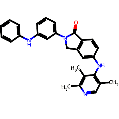 Cc1cnc(C)c(C)c1Nc1ccc2c(c1)CN(c1cccc(Nc3ccccc3)c1)C2=O